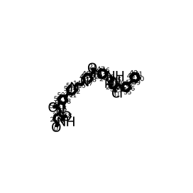 O=C1CCC(N2Cc3cc(C4CCN(CCN5CCC(C(=O)N6CCC(Nc7ncc(Cl)c(-c8cccc(-c9ccccc9)c8)n7)CC6)CC5)CC4)ccc3C2=O)C(=O)N1